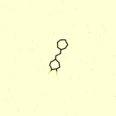 FC1CCC(CCC2CCCCCC2)CCC1F